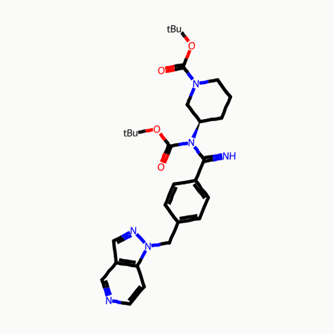 CC(C)(C)OC(=O)N1CCC[C@@H](N(C(=N)c2ccc(Cn3ncc4cnccc43)cc2)C(=O)OC(C)(C)C)C1